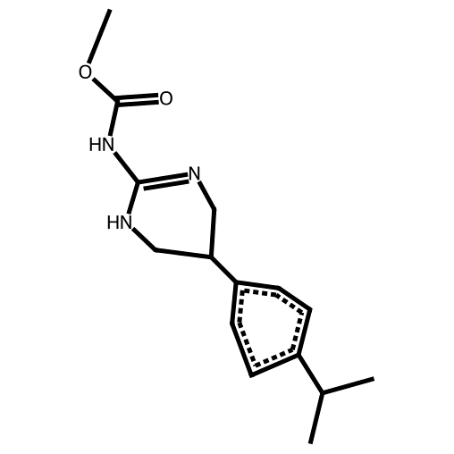 COC(=O)NC1=NCC(c2ccc(C(C)C)cc2)CN1